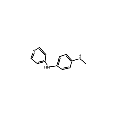 CNc1ccc(Nc2ccncc2)cc1